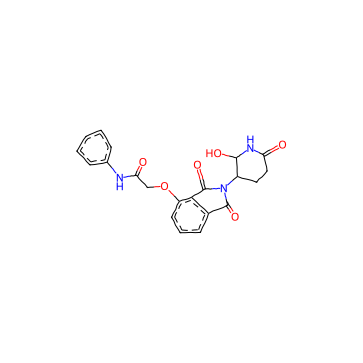 O=C(COc1cccc2c1C(=O)N(C1CCC(=O)NC1O)C2=O)Nc1ccccc1